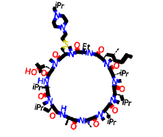 C/C=C/C[C@@H](C)C[C@H]1C(=O)N[C@@H](CC)C(=O)N(C)[C@H](CSCCN2CCN(CC(C)C)CC2)C(=O)N(C)[C@@H](CC(C)(C)O)C(=O)N[C@H](C(C)C)C(=O)N(C)[C@H](CC(C)C)C(=O)N[C@H](C)C(=O)N[C@@H](C)C(=O)N(C)[C@@H](CC(C)C)C(=O)N(C)[C@@H](CC(C)C)C(=O)N(C)[C@@H](C(C)C)C(=O)N1C